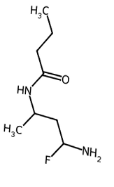 CCCC(=O)NC(C)CC(N)F